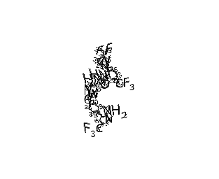 Nc1ncc(C(F)(F)F)cc1-c1ccc(Oc2ncc(NC(=O)Nc3cc(C(F)(F)F)ccc3-n3ccc(C(F)F)n3)cn2)cc1